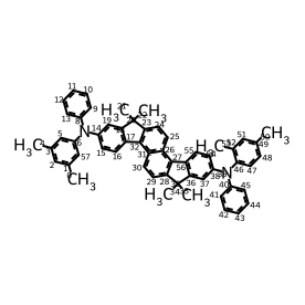 Cc1cc(C)cc(N(c2ccccc2)c2ccc3c(c2)C(C)(C)c2ccc4c5c(ccc4c2-3)C(C)(C)c2cc(N(c3ccccc3)c3ccc(C)cc3C)ccc2-5)c1